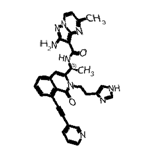 Cc1ccn2nc(N)c(C(=O)N[C@@H](C)c3cc4cccc(C#Cc5cccnc5)c4c(=O)n3CCc3c[nH]cn3)c2n1